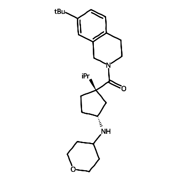 CC(C)[C@]1(C(=O)N2CCc3ccc(C(C)(C)C)cc3C2)CC[C@@H](NC2CCOCC2)C1